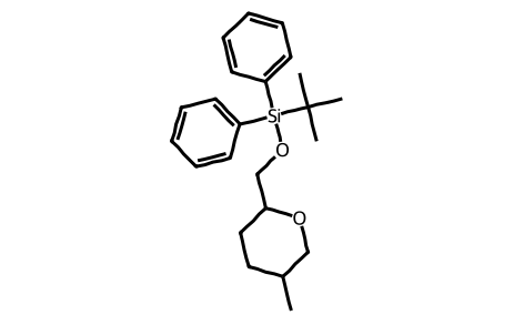 CC1CCC(CO[Si](c2ccccc2)(c2ccccc2)C(C)(C)C)OC1